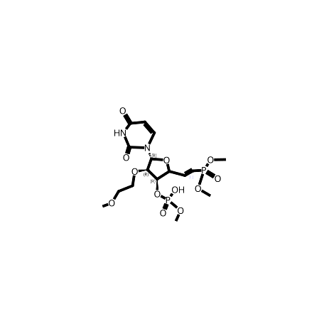 COCCO[C@@H]1[C@H](OP(=O)(O)OC)C(/C=C/P(=O)(OC)OC)O[C@H]1n1ccc(=O)[nH]c1=O